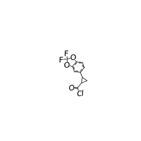 O=C(Cl)C1CC1c1ccc2c(c1)OC(F)(F)O2